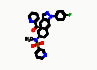 CN([C@H]1CCC2=Cc3c(cnn3-c3ccc(F)cc3)C[C@]2(C(=O)c2ccccn2)C1)S(=O)(=O)c1cccnc1